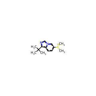 C[SH](C)c1ccc2c(C(C)(C)C)ncn2c1